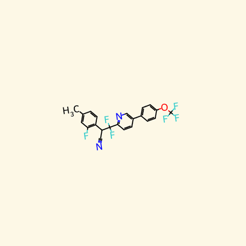 Cc1ccc(C(C#N)C(F)(F)c2ccc(-c3ccc(OC(F)(F)F)cc3)cn2)c(F)c1